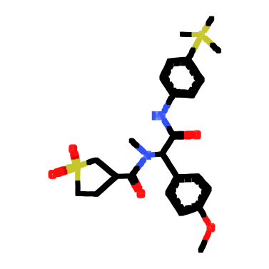 COc1ccc(C(C(=O)Nc2ccc(S(C)(C)C)cc2)N(C)C(=O)C2CCS(=O)(=O)C2)cc1